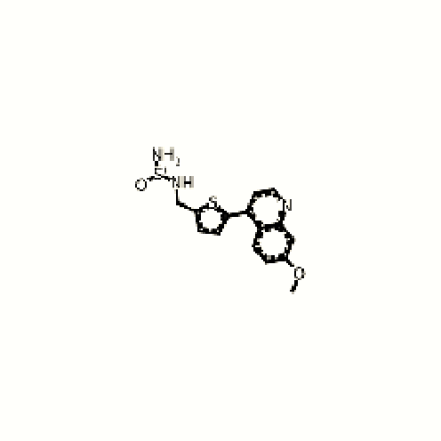 COc1ccc2c(-c3ccc(CN[S+](N)[O-])s3)ccnc2c1